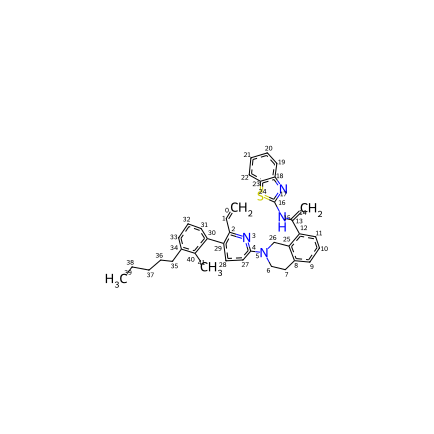 C=Cc1nc(N2CCc3cccc(C(=C)Nc4nc5ccccc5s4)c3C2)ccc1-c1cccc(CCCCC)c1C